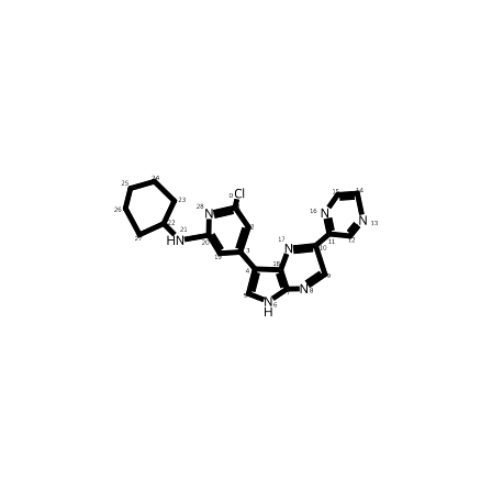 Clc1cc(-c2c[nH]c3ncc(-c4cnccn4)nc23)cc(NC2CCCCC2)n1